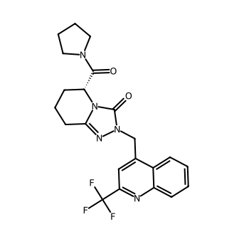 O=C([C@H]1CCCc2nn(Cc3cc(C(F)(F)F)nc4ccccc34)c(=O)n21)N1CCCC1